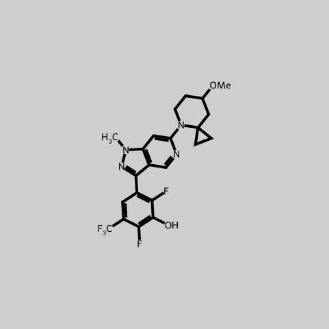 COC1CCN(c2cc3c(cn2)c(-c2cc(C(F)(F)F)c(F)c(O)c2F)nn3C)C2(CC2)C1